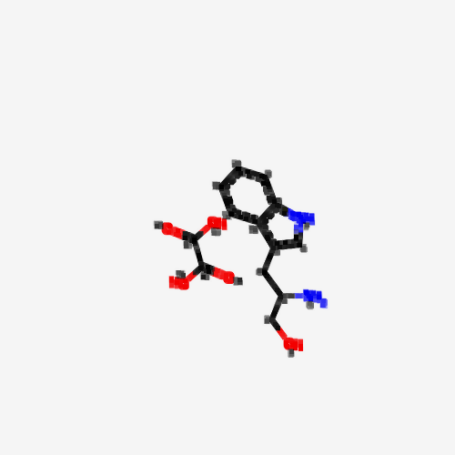 NC(CO)Cc1c[nH]c2ccccc12.O=C(O)C(=O)O